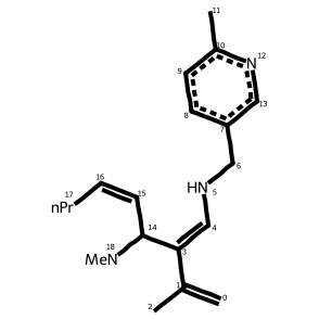 C=C(C)/C(=C/NCc1ccc(C)nc1)C(/C=C\CCC)NC